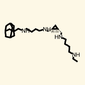 CCNCCCCNC[C@H]1C[C@H]1CNCCCCNCC12CC3CC(CC(C3)C1)C2